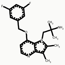 Cc1c(C)n(CC(C)(C)N)c2c(OCc3cc(F)cc(F)c3)ccnc12